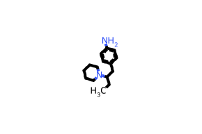 CCC(Cc1ccc(N)cc1)N1CCCCC1